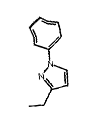 CCc1ccn(-c2ccccc2)n1